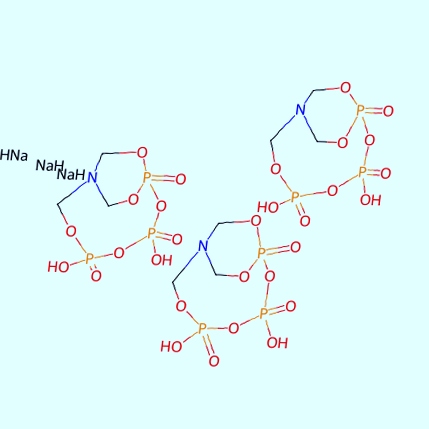 O=P1(O)OCN2COP(=O)(OC2)OP(=O)(O)O1.O=P1(O)OCN2COP(=O)(OC2)OP(=O)(O)O1.O=P1(O)OCN2COP(=O)(OC2)OP(=O)(O)O1.[NaH].[NaH].[NaH]